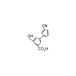 N#Cc1cccc(-c2cc(CO)cc(C(=O)O)c2)c1